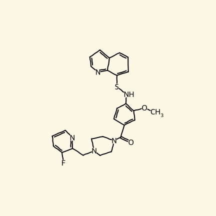 COc1cc(C(=O)N2CCN(Cc3ncccc3F)CC2)ccc1NSc1cccc2cccnc12